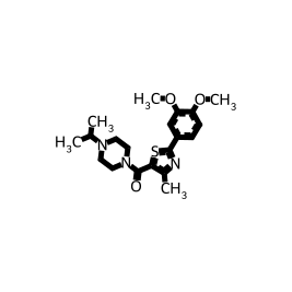 COc1ccc(-c2nc(C)c(C(=O)N3CCN(C(C)C)CC3)s2)cc1OC